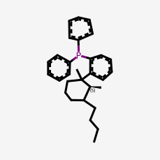 CCCCC1CCCC(C)(c2ccccc2P(c2ccccc2)c2ccccc2)[C@H]1C